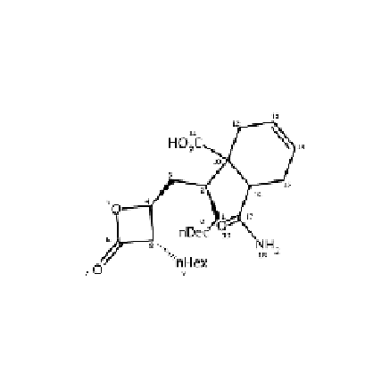 CCCCCCCCCCC[C@@H](C[C@@H]1OC(=O)[C@H]1CCCCCC)C1(C(=O)O)CC=CCC1C(N)=O